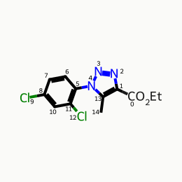 CCOC(=O)c1nnn(-c2ccc(Cl)cc2Cl)c1C